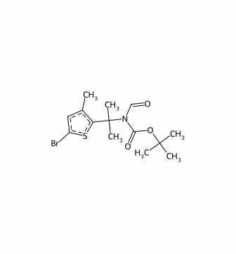 Cc1cc(Br)sc1C(C)(C)N(C=O)C(=O)OC(C)(C)C